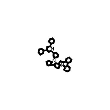 c1ccc(-c2cc(-c3ccccc3)nc(-c3cccc(-n4c5ccccc5c5ccc6c(cc7c8ccccc8c8ccccc8n76)c54)c3)c2)cc1